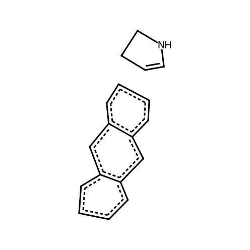 C1=CNCC1.c1ccc2cc3ccccc3cc2c1